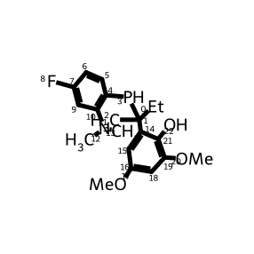 CCC(C)(Pc1ccc(F)cc1N(C)C)c1cc(OC)cc(OC)c1O